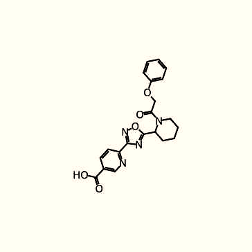 O=C(O)c1ccc(-c2noc(C3CCCCN3C(=O)COc3ccccc3)n2)nc1